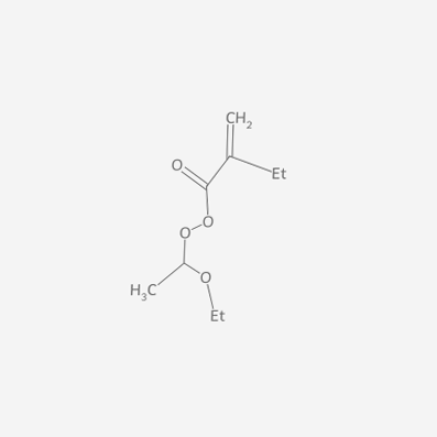 C=C(CC)C(=O)OOC(C)OCC